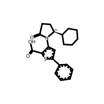 O=C(O)c1sc(-c2ccccc2)cc1N1C(=O)CC[C@H]1C1CCCCC1